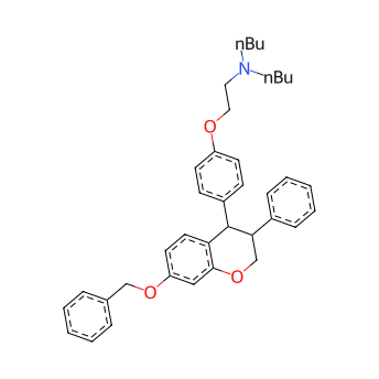 CCCCN(CCCC)CCOc1ccc(C2c3ccc(OCc4ccccc4)cc3OCC2c2ccccc2)cc1